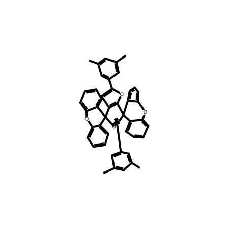 Cc1cc(C)cc(-c2cc3c(o2)C2(c4ccccc4Oc4ccccc42)c2cc(-c4cc(C)cc(C)c4)oc2C32c3ccccc3Oc3ccccc32)c1